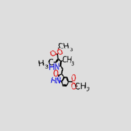 CCOC(=O)c1c(C)[nH]c(C=C2C(=O)Nc3ccc(C(=O)OC)cc32)c1C